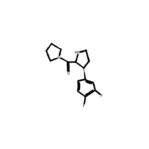 O=C(C1NCC[C@H]1c1ccc(F)c(F)c1)N1CCCC1